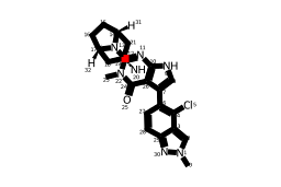 Cn1cc2c(Cl)c(-c3c[nH]c4nc(N5[C@@H]6CC[C@H]5C[C@@H](N)C6)n(C)c(=O)c34)ccc2n1